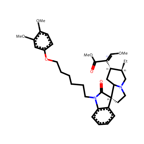 CC[C@H]1CN2CC[C@]3(C(=O)N(CCCCCCOc4ccc(OC)c(OC)c4)c4ccccc43)C2C[C@@H]1/C(=C\OC)C(=O)OC